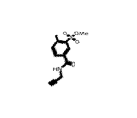 C#CCNC(=O)c1ccc(C)c(S(=O)(=O)OC)c1